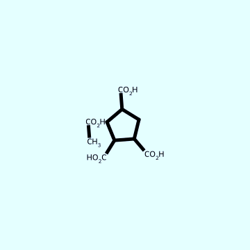 CC(=O)O.O=C(O)C1CC(C(=O)O)C(C(=O)O)C1